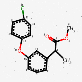 COC(=O)C(C)c1cccc(Oc2ccc(F)cc2)c1